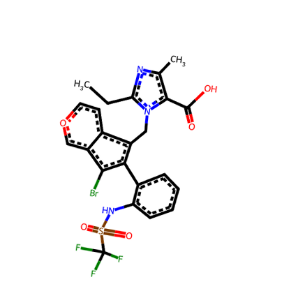 CCc1nc(C)c(C(=O)O)n1Cc1c2ccocc-2c(Br)c1-c1ccccc1NS(=O)(=O)C(F)(F)F